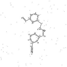 C=Cc1cccc(CO/N=[C]\c2cccc(C#N)c2)c1